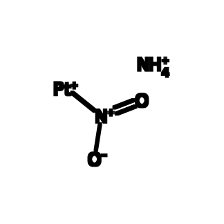 O=[N+]([O-])[Pt+].[NH4+]